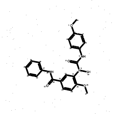 COc1ccc(NC(=O)N(S)c2cc(C(=O)Nc3ccccc3)ccc2OC)cc1